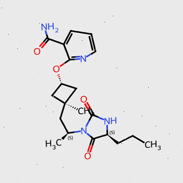 CCC[C@@H]1NC(=O)N([C@@H](C)C[C@]2(C)C[C@@H](Oc3ncccc3C(N)=O)C2)C1=O